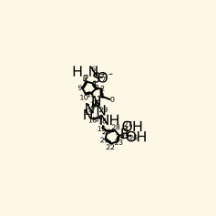 Cc1cc2c([S+](N)[O-])cccc2n1-c1nncc(NCc2cccc(B(O)O)c2)n1